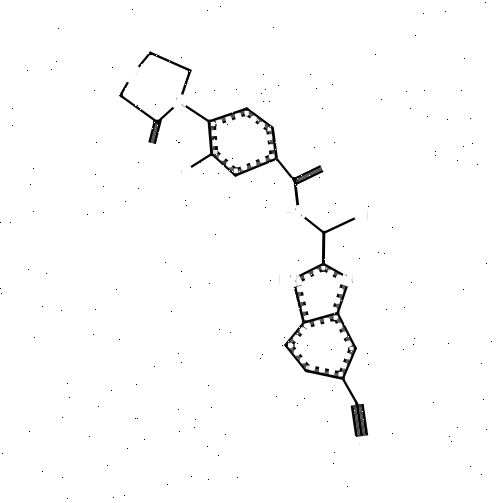 C#Cc1ccc2[nH]c(C(C)NC(=O)c3ccc(N4CCOCC4=O)c(C)c3)nc2c1